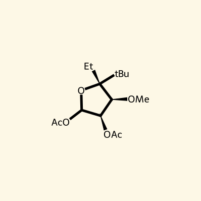 CC[C@]1(C(C)(C)C)OC(OC(C)=O)[C@H](OC(C)=O)[C@@H]1OC